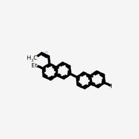 C/C=C\c1c(CC)ccc2cc(-c3ccc4cc(I)ccc4c3)ccc12